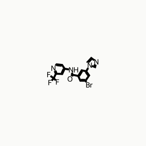 O=C(Nc1ccnc(C(F)(F)F)c1)c1cc(Br)cc(-n2ccnc2)c1